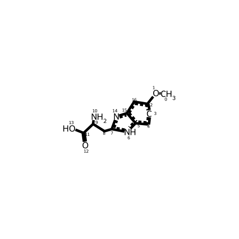 COc1ccc2[nH]c(CC(N)C(=O)O)nc2c1